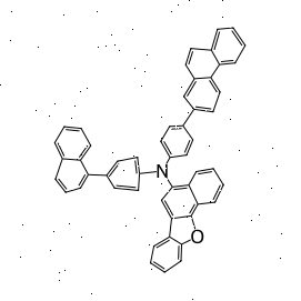 c1ccc2c(-c3ccc(N(c4ccc(-c5ccc6c(ccc7ccccc76)c5)cc4)c4cc5c6ccccc6oc5c5ccccc45)cc3)cccc2c1